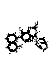 O=C(O)N1C2CCC1CN(c1nc(Cl)nc3c(F)c(-c4cccc5cccc(Cl)c45)ncc13)C2